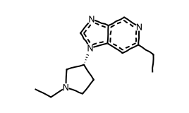 CCc1cc2c(cn1)ncn2[C@@H]1CCN(CC)C1